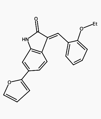 CCOc1ccccc1/C=C1/C(=O)Nc2cc(-c3ccco3)ccc21